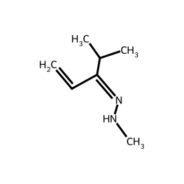 C=C/C(=N\NC)C(C)C